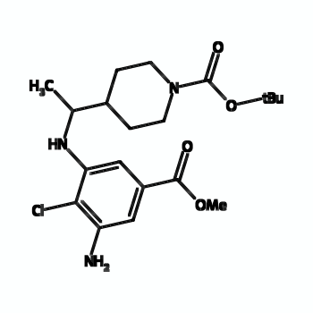 COC(=O)c1cc(N)c(Cl)c(NC(C)C2CCN(C(=O)OC(C)(C)C)CC2)c1